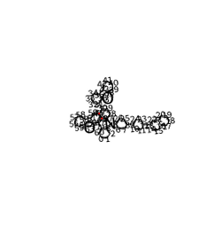 c1ccc(N(c2ccc(-c3ccc(-c4ccc5ccccc5c4)cc3)cc2)c2ccc(-c3cccc4c3oc3ccccc34)cc2)c(-c2cccc3c2oc2ccccc23)c1